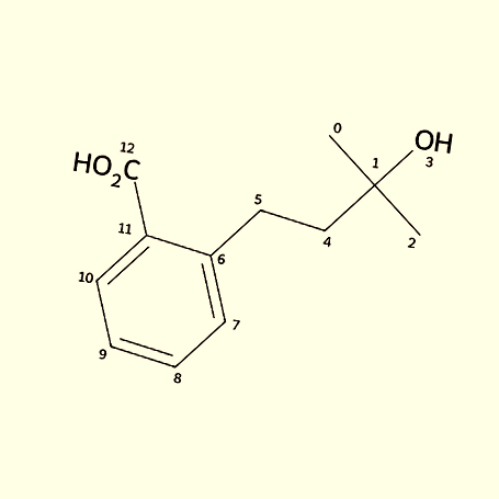 CC(C)(O)CCc1ccccc1C(=O)O